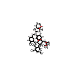 [2H]C([2H])([2H])Oc1cc([C@H](Cc2c(Cl)c[n+]([O-])cc2Cl)c2cc(CN(C(=O)O[C@H]3CN4CCC3CC4)c3ccccc3F)ccc2C(=O)O)ccc1OC(F)F